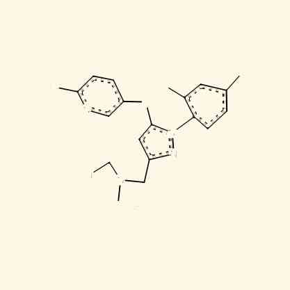 Cc1ccc(-n2nc(CN(CC(C)(C)C)C(=O)O)cc2Sc2ccc(Cl)nc2)c(F)c1